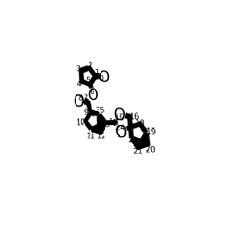 O=C1CCCC1OC(=O)C1CC2C=C(C3OCC4(CC5C=CC4C5)O3)C1C2